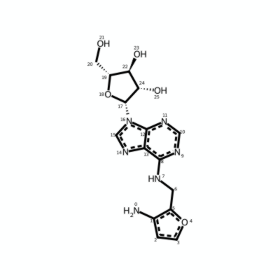 Nc1ccoc1CNc1ncnc2c1ncn2[C@@H]1O[C@H](CO)[C@@H](O)[C@@H]1O